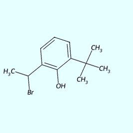 CC(Br)c1cccc(C(C)(C)C)c1O